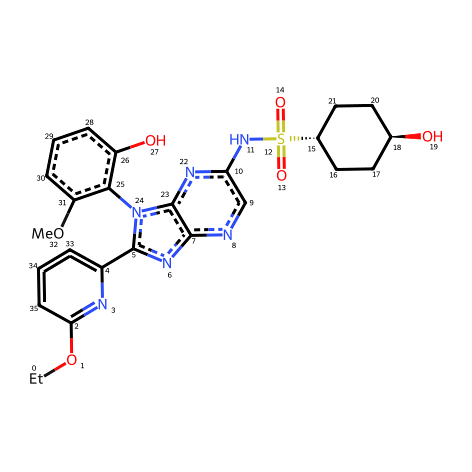 CCOC1=NC(c2nc3ncc(NS(=O)(=O)[C@H]4CC[C@H](O)CC4)nc3n2-c2c(O)cccc2OC)=C=C=C1